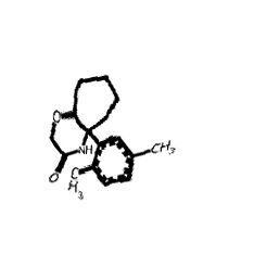 Cc1ccc(C)c(C23CCCCC2OCC(=O)N3)c1